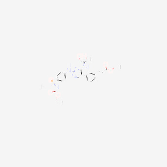 CCOC(=O)N=S(C)(=O)c1ccc(Nc2ncc(-c3cccc(CCC(=O)OC)c3)c(N[C@H](C)CO)n2)cc1